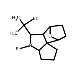 CCN1C(C(C)(C)CC)C2C3CCC(O3)C23CCCC13